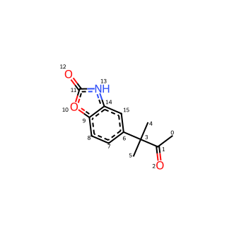 CC(=O)C(C)(C)c1ccc2oc(=O)[nH]c2c1